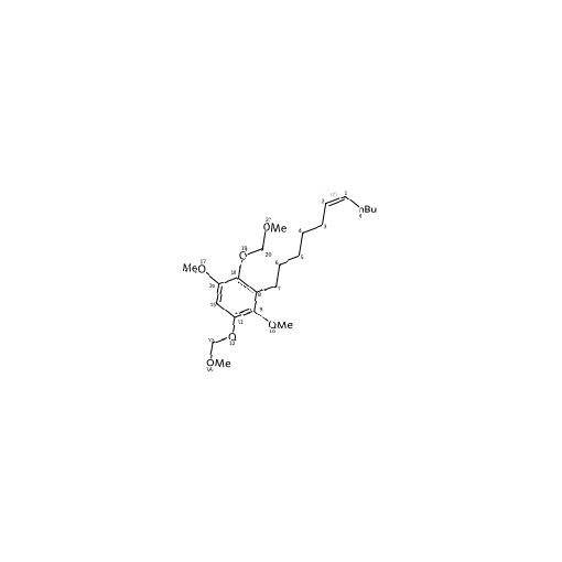 CCCC/C=C\CCCCCc1c(OC)c(OCOC)cc(OC)c1OCOC